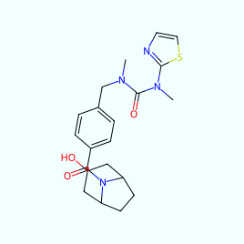 CN(Cc1ccc(C(=O)N2C3CCC2CC(O)C3)cc1)C(=O)N(C)c1nccs1